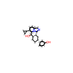 Oc1cccc([C@H]2CC[C@H]([C@@H](O)c3c(C4CC4)ccc4cncn34)CC2)c1